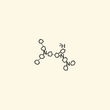 [2H]c1ccc2c(c1)c1cc(-c3ccc(N(c4ccc(-c5ccccc5)cc4)c4ccc(-c5ccccc5)cc4)cc3)ccc1n2-c1ccc(N(c2ccccc2)c2ccccc2)cc1